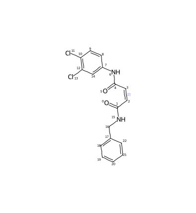 O=C(/C=C\C(=O)Nc1ccc(Cl)c(Cl)c1)NCc1ccccc1